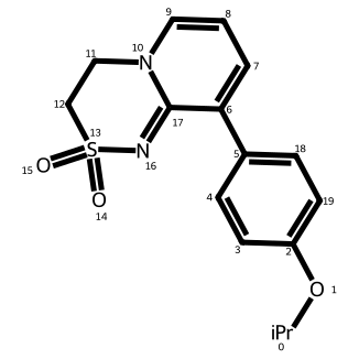 CC(C)Oc1ccc(C2=CC=CN3CCS(=O)(=O)N=C23)cc1